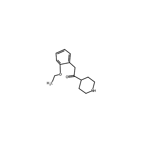 CCOc1ccccc1CC(=O)C1CCNCC1